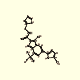 O=C(NCc1cccs1)c1nc2c(C(F)(F)F)cc(-c3ccc(Cl)s3)cn2c1Cl